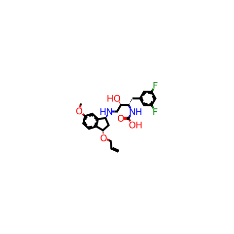 C=CCO[C@H]1C[C@H](NC[C@H](O)[C@H](Cc2cc(F)cc(F)c2)NC(=O)O)c2cc(OC)ccc21